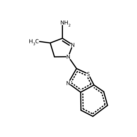 CC1CN(c2nc3ccccc3s2)N=C1N